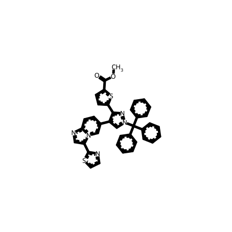 COC(=O)c1ccc(-c2nn(C(c3ccccc3)(c3ccccc3)c3ccccc3)cc2-c2ccc3ncc(-c4nccs4)n3c2)s1